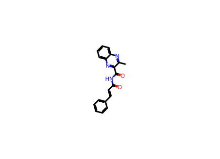 Cc1nc2ccccc2nc1C(=O)NC(=O)C=Cc1ccccc1